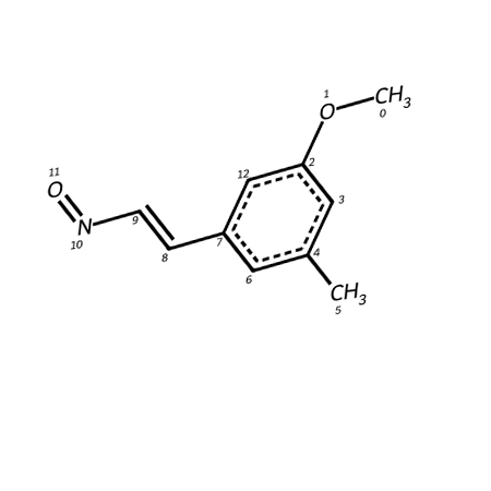 COc1cc(C)cc(/C=C/N=O)c1